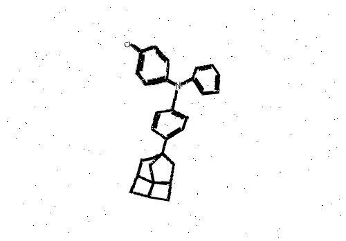 Clc1ccc(N(c2ccccc2)c2ccc(C34CC5CC6CC(C3)C65C4)cc2)cc1